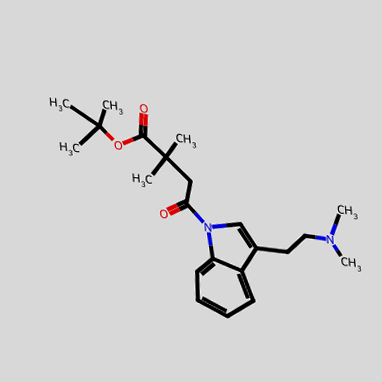 CN(C)CCc1cn(C(=O)CC(C)(C)C(=O)OC(C)(C)C)c2ccccc12